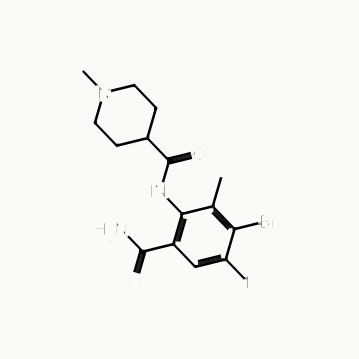 Cc1c(Br)c(I)cc(C(N)=O)c1NC(=O)C1CCN(C)CC1